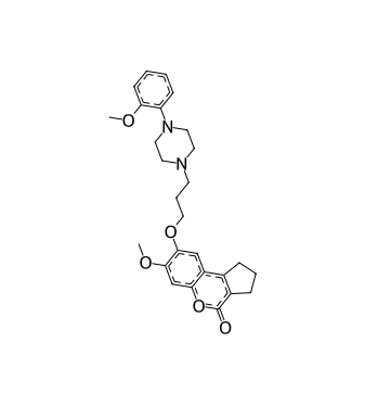 COc1cc2oc(=O)c3c(c2cc1OCCCN1CCN(c2ccccc2OC)CC1)CCC3